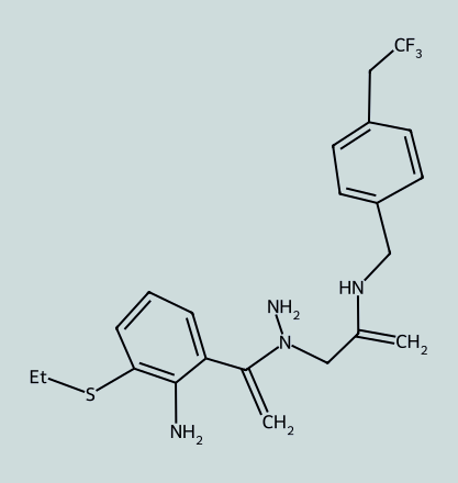 C=C(CN(N)C(=C)c1cccc(SCC)c1N)NCc1ccc(CC(F)(F)F)cc1